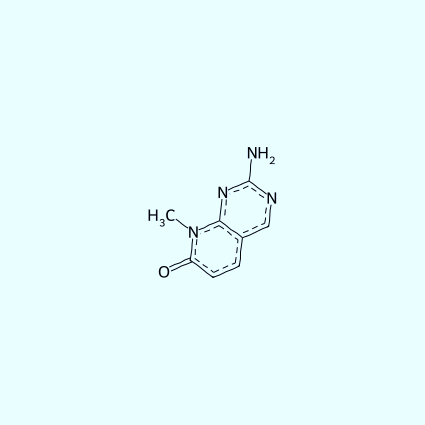 Cn1c(=O)ccc2cnc(N)nc21